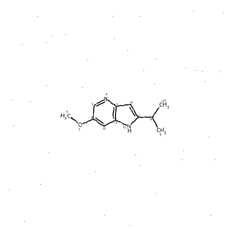 COc1cnc2cc(C(C)C)[nH]c2c1